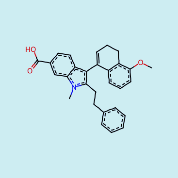 COc1cccc2c1CCC=C2c1c(CCc2ccccc2)n(C)c2cc(C(=O)O)ccc12